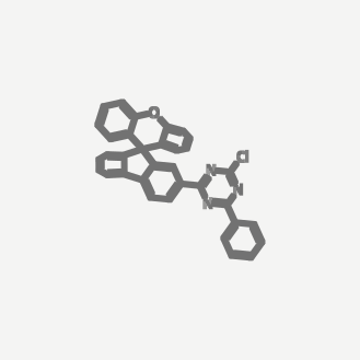 Clc1nc(-c2ccccc2)nc(-c2ccc3c(c2)C2(c4ccccc4Oc4ccccc42)c2ccccc2-3)n1